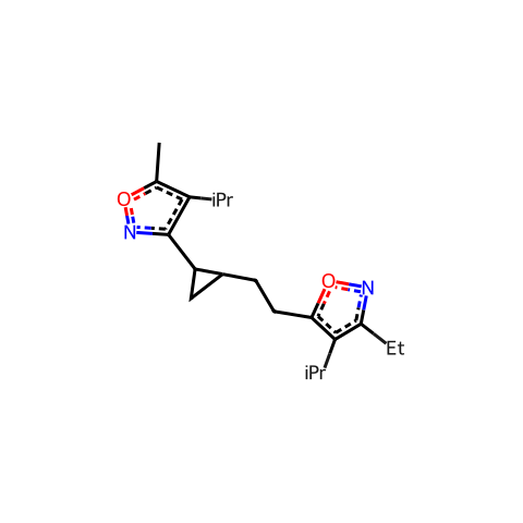 CCc1noc(CCC2CC2c2noc(C)c2C(C)C)c1C(C)C